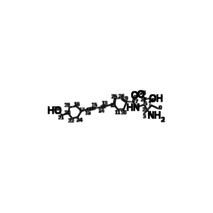 CCC(C)(N)C(NC(=O)c1ccc(C#CC#CC2CCC(CO)CC2)cc1)C(=O)O